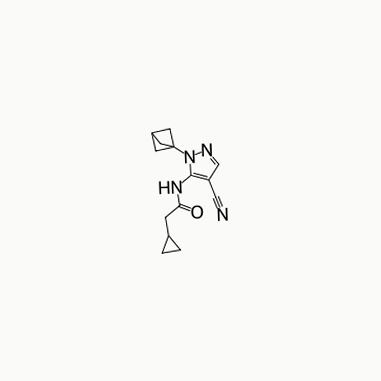 N#Cc1cnn(C23CC(C2)C3)c1NC(=O)CC1CC1